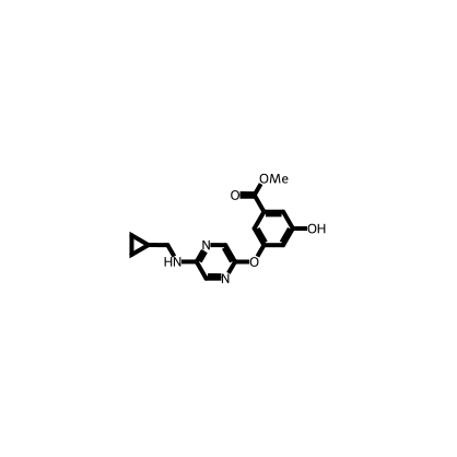 COC(=O)c1cc(O)cc(Oc2cnc(NCC3CC3)cn2)c1